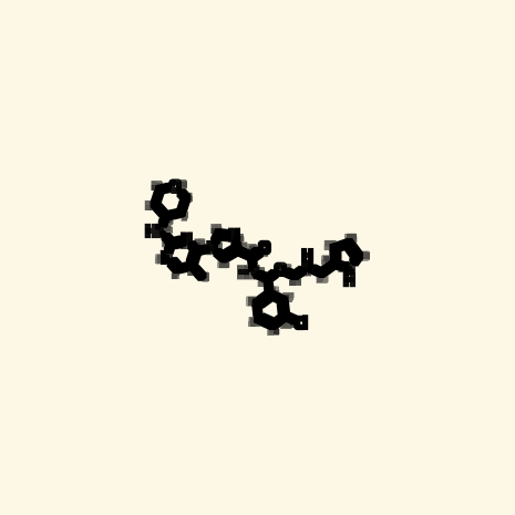 Cc1cnc(NC2CCOCC2)nc1-n1cnc(C(=O)NC(OCNCc2ccc[nH]2)c2cccc(Cl)c2)c1